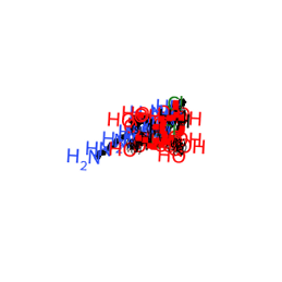 CN[C@H](CC(C)C)C(=O)N[C@H]1C(=O)N[C@@H](CC(N)=O)C(=O)N[C@H]2C(=O)N[C@H]3C(=O)N[C@H](C(=O)N[C@H](C(=O)NCCCNCCCCNCCCN)c4cc(O)cc(O)c4-c4cc3ccc4O)[C@H](O[C@H]3C[C@](C)(N)[C@@H](O)[C@H](C)O3)c3ccc(c(Cl)c3)Oc3cc2cc(c3O[C@@H]2O[C@H](CO)[C@@H](O)[C@H](O)[C@H]2O[C@H]2C[C@](C)(NCc3ccc(-c4ccc(Cl)cc4)cc3)[C@@H](O)[C@H](C)O2)Oc2ccc(cc2Cl)[C@H]1O